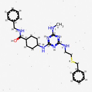 CNc1nc(NCCSCc2ccccc2)nc(NC2CCC(C(=O)NCc3ccccc3)CC2)n1